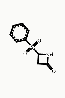 O=C1CC(S(=O)(=O)c2ccccc2)N1